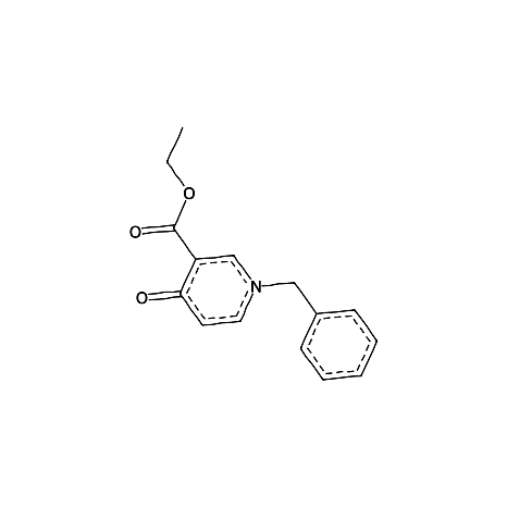 CCOC(=O)c1cn(Cc2ccccc2)ccc1=O